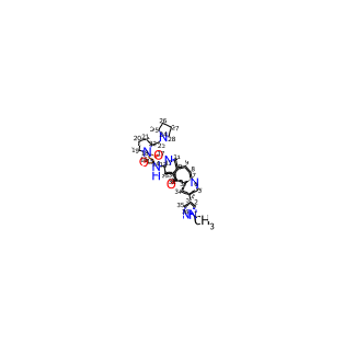 Cn1cc(-c2cnc3ccc4cnc(NS(=O)(=O)N5CCCC5CN5CCCC5)cc4c(=O)c3c2)cn1